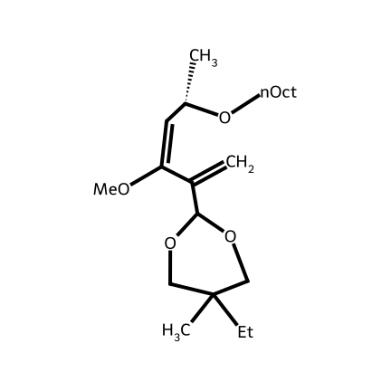 C=C(/C(=C\[C@H](C)OCCCCCCCC)OC)C1OCC(C)(CC)CO1